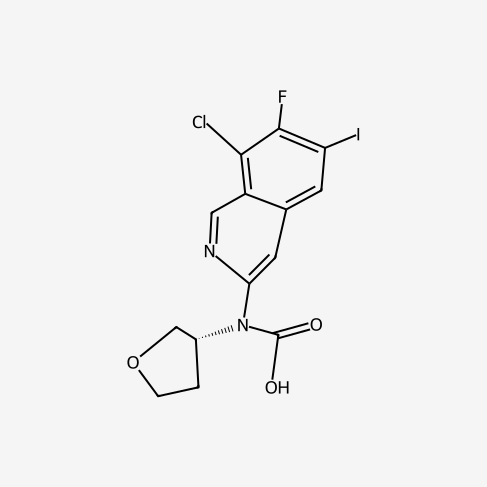 O=C(O)N(c1cc2cc(I)c(F)c(Cl)c2cn1)[C@@H]1CCOC1